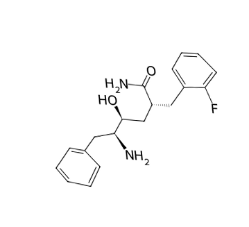 NC(=O)[C@H](Cc1ccccc1F)C[C@H](O)[C@@H](N)Cc1ccccc1